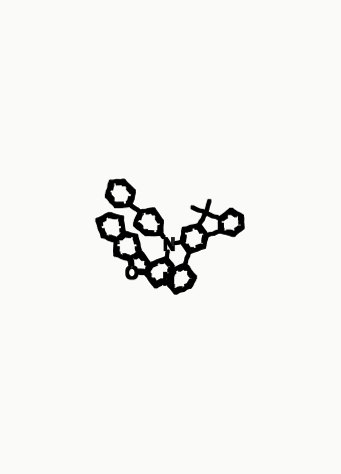 CC1(C)c2ccccc2-c2cc(-c3ccccc3)c(N(c3ccc(-c4ccccc4)cc3)c3cncc4oc5cc6ccccc6cc5c34)cc21